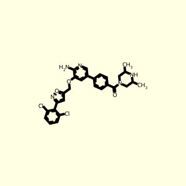 CC1CN(C(=O)c2ccc(-c3cnc(N)c(OCc4cc(-c5c(Cl)cccc5Cl)no4)c3)cc2)CC(C)N1